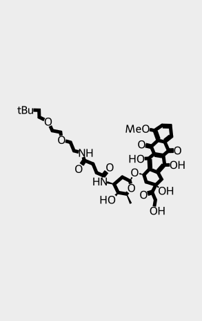 COc1cccc2c1C(=O)c1c(O)c3c(c(O)c1C2=O)C[C@@](O)(C(=O)CO)C[C@@H]3O[C@H]1C[C@H](NC(=O)CCC(=O)NCCOCCOCCC(C)(C)C)[C@H](O)[C@H](C)O1